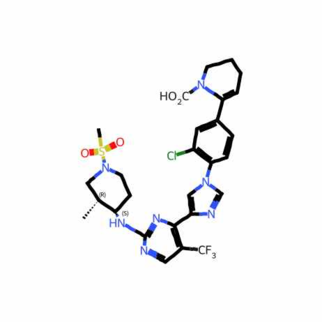 C[C@@H]1CN(S(C)(=O)=O)CC[C@@H]1Nc1ncc(C(F)(F)F)c(-c2cn(-c3ccc(C4=CCCCN4C(=O)O)cc3Cl)cn2)n1